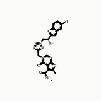 Cc1oc2ncn(Cc3nnn(C[C@H](O)c4cc5cc(Cl)ccc5o4)n3)c(=O)c2c1C(N)=O